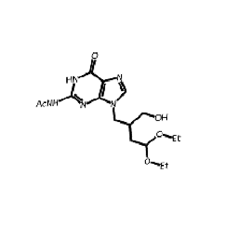 CCOC(CC(CO)Cn1cnc2c(=O)[nH]c(NC(C)=O)nc21)OCC